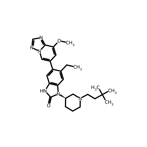 CCc1cc2c(cc1-c1cc(OC)c3ncnn3c1)[nH]c(=O)n2[C@@H]1CCCN(CCC(C)(C)C)C1